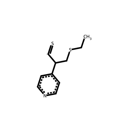 CCSCC([C]=S)c1ccncc1